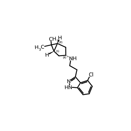 CC1(C)[C@@H]2C[C@H](NCCc3n[nH]c4cccc(Cl)c34)C[C@@H]21